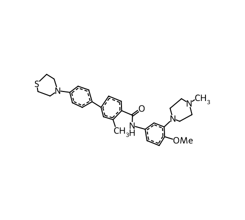 COc1ccc(NC(=O)c2ccc(-c3ccc(N4CCSCC4)cc3)cc2C)cc1N1CCN(C)CC1